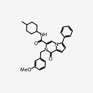 COc1cccc(Cn2c(C(=O)NC3CCC(C)CC3)cn3c(-c4ccccc4)ccc3c2=O)c1